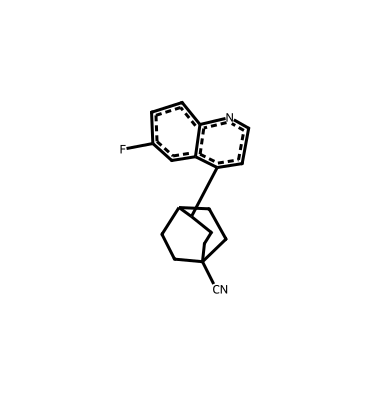 N#CC12CCC(CC1)C(c1ccnc3ccc(F)cc13)CC2